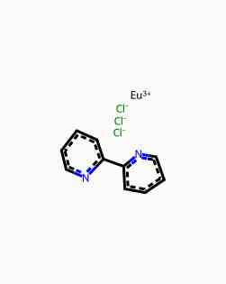 [Cl-].[Cl-].[Cl-].[Eu+3].c1ccc(-c2ccccn2)nc1